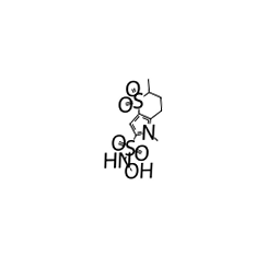 CC1CCc2c(cc(S(=O)(=O)NO)n2C)S1(=O)=O